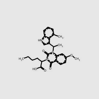 CCCCC(C(=O)O)n1c(=O)c2ccc(OC)cc2n(C(C)c2c[nH]c3cccc(C)c23)c1=O